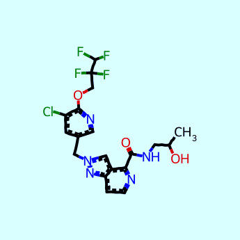 CC(O)CNC(=O)c1nccc2nn(Cc3cnc(OCC(F)(F)C(F)F)c(Cl)c3)cc12